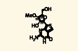 CO[C@H]1[C@@H](O)[C@H](c2scc3c(=O)[nH]c(N)nc23)O[C@@H]1CO